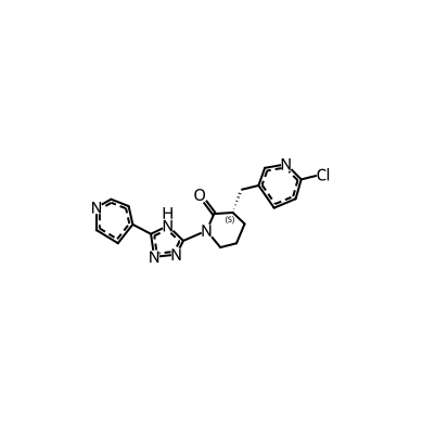 O=C1[C@H](Cc2ccc(Cl)nc2)CCCN1c1nnc(-c2ccncc2)[nH]1